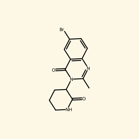 Cc1nc2ccc(Br)cc2c(=O)n1C1CCCNC1=O